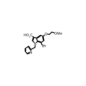 COCCOc1cc(C(C)C)c2c(c1)c(C(=O)O)cn2Cc1ccccn1